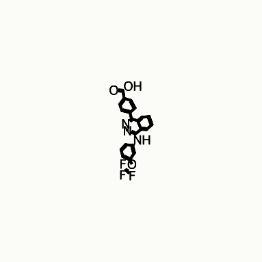 O=C(O)c1ccc(-c2nnc(Nc3cccc(OC(F)(F)F)c3)c3ccccc23)cc1